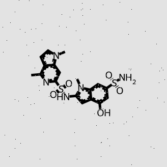 Cc1nc(S(=O)(=O)Nc2cc3c(O)cc(S(N)(=O)=O)cc3n2C)cc2c1ccn2C